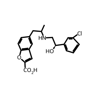 CC(Cc1ccc2oc(C(=O)O)cc2c1)NC[C@H](O)c1cccc(Cl)c1